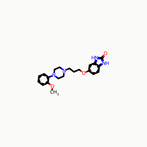 COc1ccccc1N1CCN(CCCOc2ccc3[nH]c(=O)[nH]c3c2)CC1